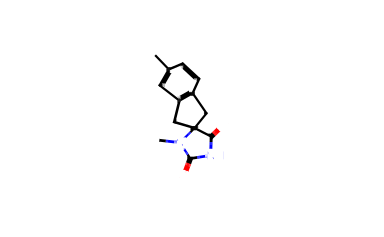 Cc1ccc2c(c1)CC1(C2)C(=O)NC(=O)N1C